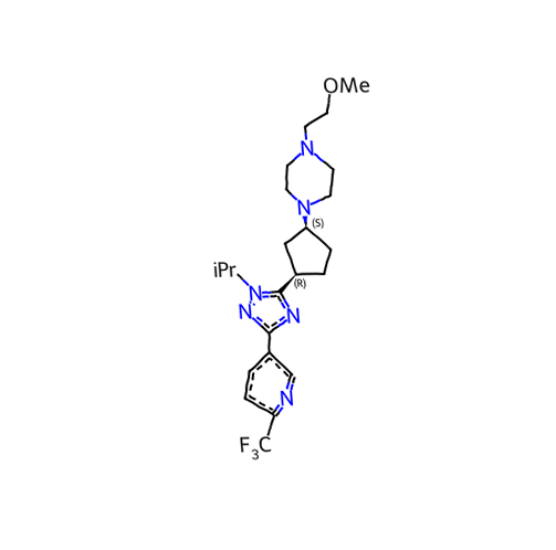 COCCN1CCN([C@H]2CC[C@@H](c3nc(-c4ccc(C(F)(F)F)nc4)nn3C(C)C)C2)CC1